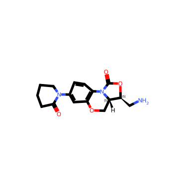 NC[C@@H]1OC(=O)N2c3ccc(N4CCCCC4=O)cc3OC[C@@H]12